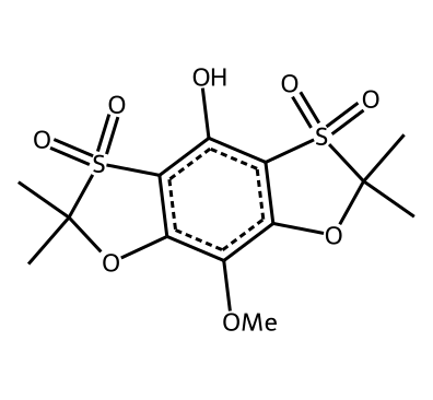 COc1c2c(c(O)c3c1OC(C)(C)S3(=O)=O)S(=O)(=O)C(C)(C)O2